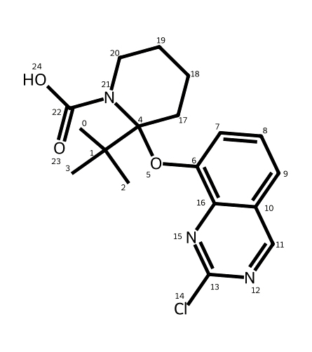 CC(C)(C)C1(Oc2cccc3cnc(Cl)nc23)CCCCN1C(=O)O